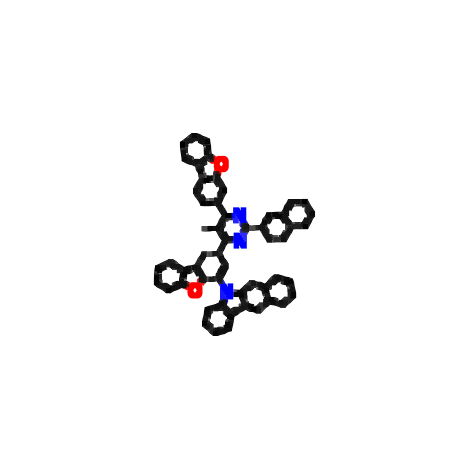 Cc1c(-c2ccc3c(c2)oc2ccccc23)nc(-c2ccc3ccccc3c2)nc1C1C=C(n2c3ccccc3c3cc4ccccc4cc32)c2oc3ccccc3c2C1